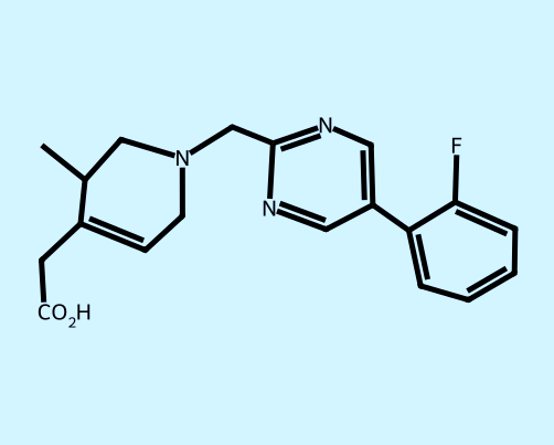 CC1CN(Cc2ncc(-c3ccccc3F)cn2)CC=C1CC(=O)O